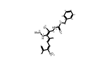 C=C(C)\C(=C/C=C(C)/C(NNC)=C(/CC)CNC(=O)OCc1ccccc1)[N+](=O)[O-]